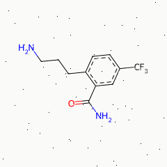 NCC[CH]c1ccc(C(F)(F)F)cc1C(N)=O